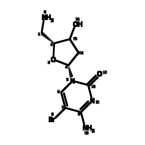 NC[C@H]1O[C@@H](n2cc(Br)c(N)nc2=O)CC1O